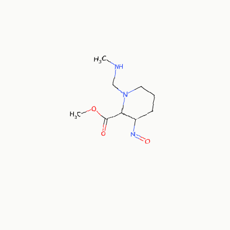 CNCN1CCCC(N=O)C1C(=O)OC